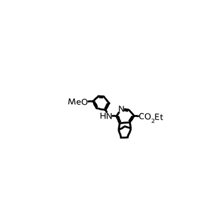 CCOC(=O)c1cnc(Nc2cccc(OC)c2)c2c1C1CCC2C1